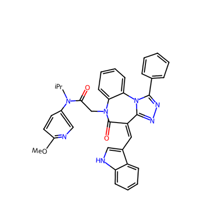 COc1ccc(N(C(=O)CN2C(=O)C(=Cc3c[nH]c4ccccc34)c3nnc(-c4ccccc4)n3-c3ccccc32)C(C)C)cn1